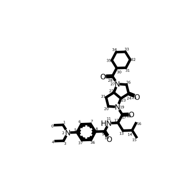 CCN(CC)c1ccc(C(=O)NC(CC(C)C)C(=O)N2CCC3C2C(=O)CN3C(=O)C2CCCCC2)cc1